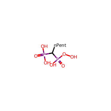 CCCCCC(P(=O)(O)O)P(=O)(O)OO